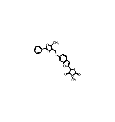 CCCN1C(=O)SC(c2cc3ccc(OCc4nc(-c5ccccc5)oc4C)cc3o2)C1=O